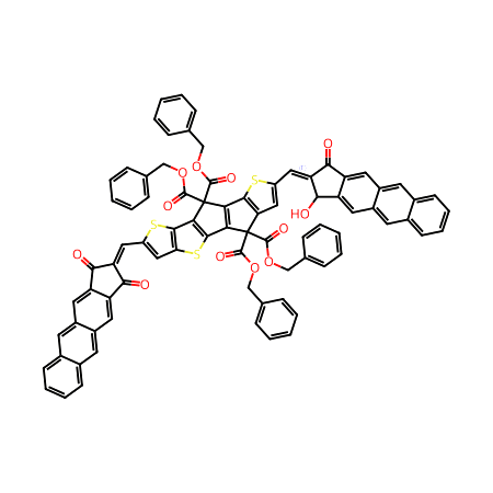 O=C1C(=Cc2cc3sc4c(c3s2)C(C(=O)OCc2ccccc2)(C(=O)OCc2ccccc2)C2=C4C(C(=O)OCc3ccccc3)(C(=O)OCc3ccccc3)c3cc(/C=C4/C(=O)c5cc6cc7ccccc7cc6cc5C4O)sc32)C(=O)c2cc3cc4ccccc4cc3cc21